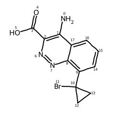 Nc1c(C(=O)O)nnc2c(C3(Br)CC3)cccc12